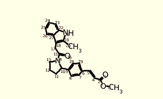 COC(=O)C=Cc1ccc(C2CCCN2C(=O)Cc2c(C)[nH]c3ccccc23)cc1